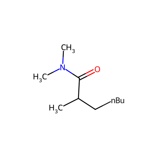 [CH2]CCCCC(C)C(=O)N(C)C